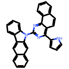 c1c[nH]c(-c2nc(-n3c4ccccc4c4cc5ccccc5cc43)nc3c2ccc2ccccc23)c1